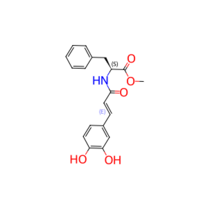 COC(=O)[C@H](Cc1ccccc1)NC(=O)/C=C/c1ccc(O)c(O)c1